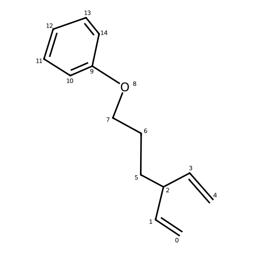 C=CC(C=C)CCCOc1ccccc1